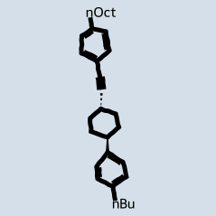 CCCCCCCCc1ccc(C#C[C@H]2CC[C@H](c3ccc(CCCC)cc3)CC2)cc1